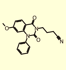 COc1ccc2c(=O)n(CCCC#N)c(=O)n(-c3ccccc3)c2c1